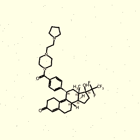 C[C@]12C[C@H](c3ccc(C(=O)N4CCN(CCN5CCCC5)CC4)cc3)C3=C4CCC(=O)C=C4CC[C@H]3[C@@H]1CC[C@@]2(O)C(F)(F)C(F)(F)F